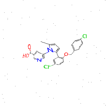 Cc1ccc(-c2cc(Cl)ccc2OCc2ccc(Cl)cc2)n1-c1cncc(C(=O)O)c1